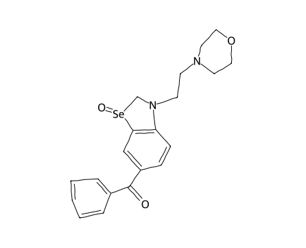 O=C(c1ccccc1)c1ccc2c(c1)[Se](=O)CN2CCN1CCOCC1